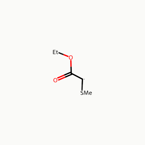 CCOC(=O)[CH]SC